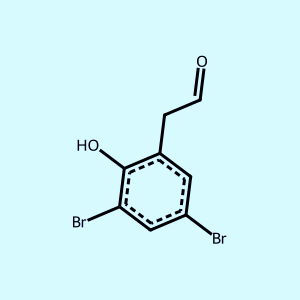 O=CCc1cc(Br)cc(Br)c1O